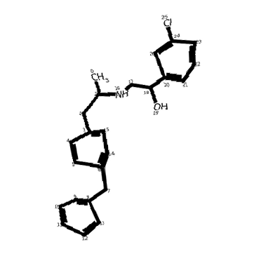 CC(Cc1ccc(Cc2ccccc2)cc1)NCC(O)c1cccc(Cl)c1